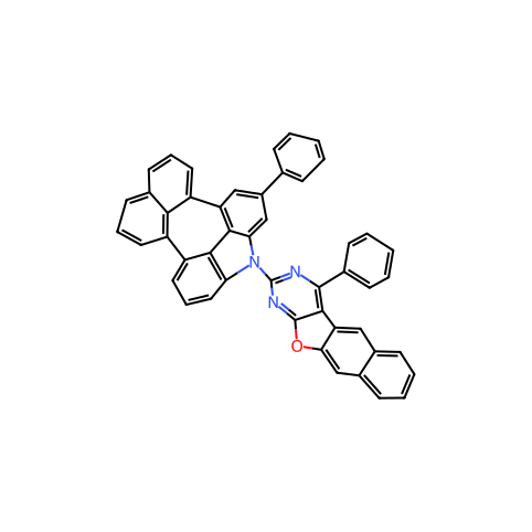 c1ccc(-c2cc3c4c5c(cccc5n(-c5nc(-c6ccccc6)c6c(n5)oc5cc7ccccc7cc56)c4c2)-c2cccc4cccc-3c24)cc1